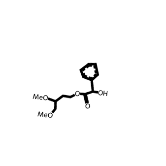 COCC(CCOC(=O)C(O)c1ccccc1)OC